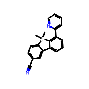 C[Si]1(C)c2ccc(C#N)cc2-c2cccc(-c3ccccn3)c21